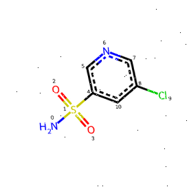 NS(=O)(=O)c1cncc(Cl)c1